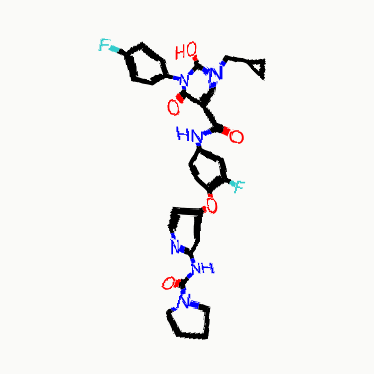 O=C(Nc1ccc(Oc2ccnc(NC(=O)N3CCCC3)c2)c(F)c1)C1=CN(CC2CC2)C(O)N(c2ccc(F)cc2)C1=O